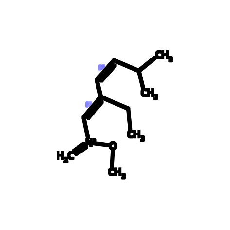 C=[N+](/C=C(/C=C\C(C)C)CC)OC